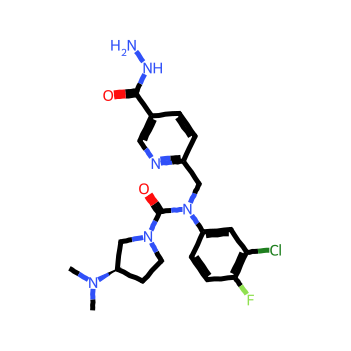 CN(C)[C@@H]1CCN(C(=O)N(Cc2ccc(C(=O)NN)cn2)c2ccc(F)c(Cl)c2)C1